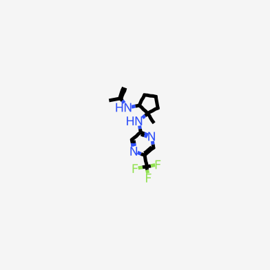 C=C(C)NC1CCCC1(C)Nc1cnc(C(F)(F)F)cn1